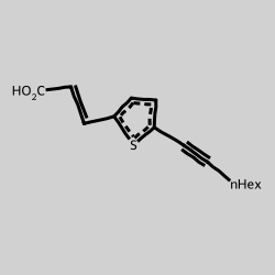 CCCCCCC#Cc1ccc(C=CC(=O)O)s1